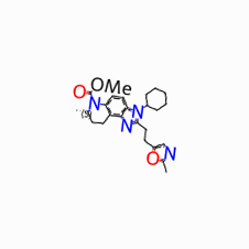 COC(=O)N1c2ccc3c(nc(CCc4cnc(C)o4)n3C3CCCCC3)c2CC[C@@H]1C